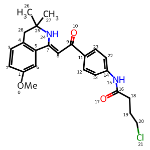 COc1ccc2c(c1)/C(=C/C(=O)c1ccc(NC(=O)CCCCl)cc1)NC(C)(C)C2